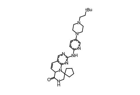 CC(C)(C)CCN1CCN(c2ccc(Nc3ncc4c(n3)N3C(C=C4)C(=O)NCC34CCCC4)nc2)CC1